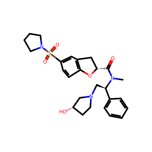 CN(C(=O)[C@H]1Cc2cc(S(=O)(=O)N3CCCC3)ccc2O1)[C@H](CN1CC[C@H](O)C1)c1ccccc1